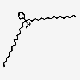 CCCCCCCCCCCCCCCCC(CCCCCCCCCCCCCCCC)(c1ccccc1)N(C)C